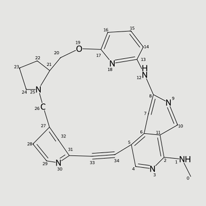 CNc1ncc2c3cc(ncc13)Nc1cccc(n1)OCC1CCCN1Cc1ccnc(c1)C#C2